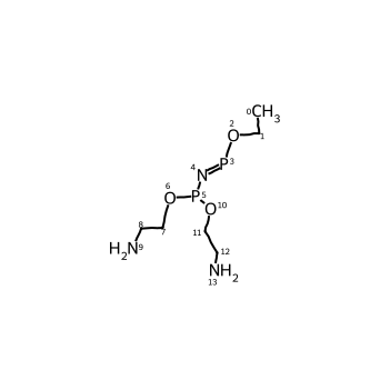 CCOP=NP(OCCN)OCCN